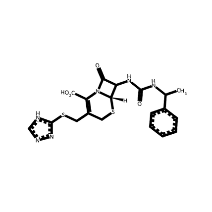 CC(NC(=O)NC1C(=O)N2C(C(=O)O)=C(CSc3nnc[nH]3)CS[C@@H]12)c1ccccc1